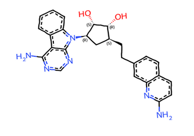 Nc1ccc2ccc(CC[C@H]3C[C@@H](n4c5ccccc5c5c(N)ncnc54)[C@H](O)[C@@H]3O)cc2n1